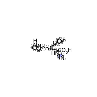 C=N/C=C\C(=N/C)N[C@@H](CCN(CCCCc1ccc2c(n1)NCCC2)CCOc1ccc(F)cc1)C(=O)O